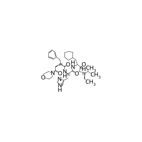 CC[C@@H](C[C@H](O)C(CC1CCCCC1)NC(=O)[C@H](Cc1c[nH]cn1)NC(=O)[C@@H](CC(=O)N1CCOCC1)Cc1ccccc1)C(C)C